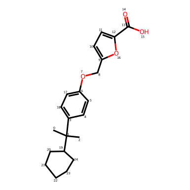 CC(C)(c1ccc(OCc2ccc(C(=O)O)o2)cc1)C1CCCCC1